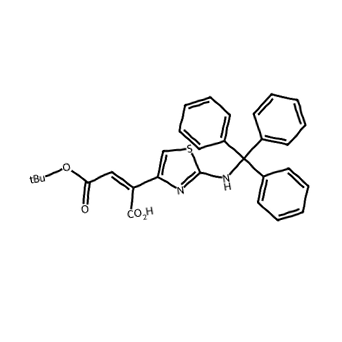 CC(C)(C)OC(=O)/C=C(\C(=O)O)c1csc(NC(c2ccccc2)(c2ccccc2)c2ccccc2)n1